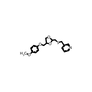 COc1ccc(OCC2COC(CSCc3cccnc3)O2)cc1